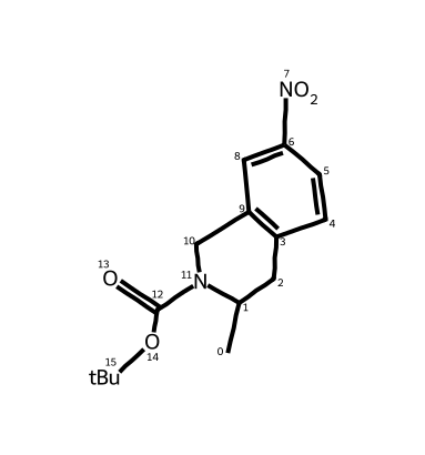 CC1Cc2ccc([N+](=O)[O-])cc2CN1C(=O)OC(C)(C)C